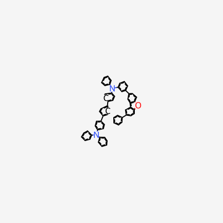 c1ccc(-c2ccc3oc4ccc(-c5cccc(N(c6ccccc6)c6ccc(-c7ccc(-c8ccc(N(c9ccccc9)c9ccccc9)cc8)cc7)cc6)c5)cc4c3c2)cc1